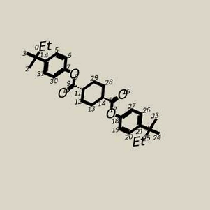 CCC(C)(C)c1ccc(OC(=O)[C@H]2CC[C@H](C(=O)Oc3ccc(C(C)(C)CC)cc3)CC2)cc1